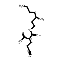 CCCCC(C)CCOC(=O)C(CCC#N)C(=O)O